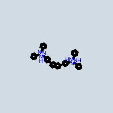 c1ccc(C2=NC(c3ccccc3)NC(c3ccc(-c4ccc5ccc(-c6ccc(C7N=C(c8ccccc8)NC(c8ccccc8)N7)cc6)cc5c4)cc3)=N2)cc1